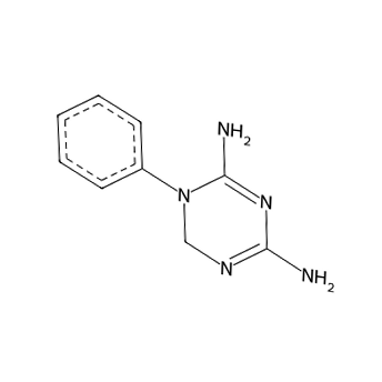 NC1=NCN(c2ccccc2)C(N)=N1